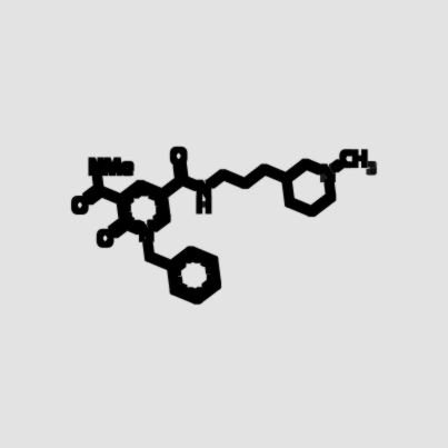 CNC(=O)c1cc(C(=O)NCCCC2CCCN(C)C2)cn(Cc2ccccc2)c1=O